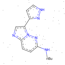 CCCCNc1ccc2ncc(-c3cc[nH]n3)n2n1